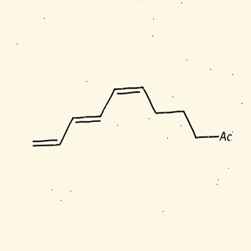 C=C/C=C/C=C\CCCC(C)=O